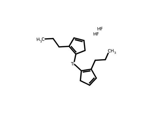 CCCC1=[C]([Ti][C]2=C(CCC)C=CC2)CC=C1.F.F